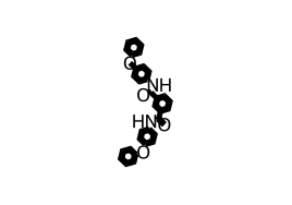 O=C(Nc1ccc(Oc2ccccc2)cc1)c1cccc(C(=O)Nc2ccc(Oc3ccccc3)cc2)c1